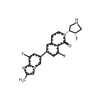 Cc1cn2cc(-c3cc(F)c4c(=O)n([C@@H]5CNC[C@@H]5F)ccc4c3)cc(F)c2n1